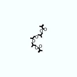 C=C(C)C(=O)OCC(C)COCC(C)OCC(C)COC(=O)C(=C)C